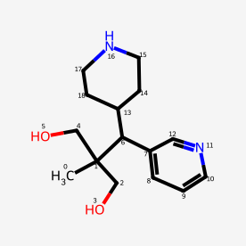 CC(CO)(CO)C(c1cccnc1)C1CCNCC1